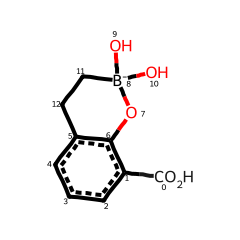 O=C(O)c1cccc2c1O[B-](O)(O)CC2